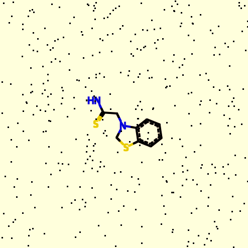 [NH]C(=S)CN1CSc2ccccc21